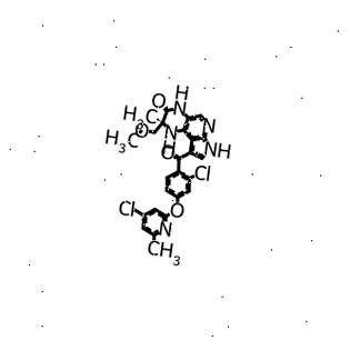 COC[C@]1(C)Nc2c(cnc3[nH]cc(C(=O)c4ccc(Oc5cc(Cl)cc(C)n5)cc4Cl)c23)NC1=O